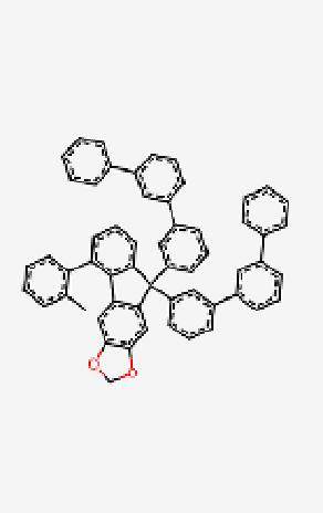 Cc1ccccc1-c1cccc2c1-c1cc3c(cc1C2(c1cccc(-c2cccc(-c4ccccc4)c2)c1)c1cccc(-c2cccc(-c4ccccc4)c2)c1)OCO3